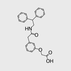 O=C(O)COc1cccc(CC(=O)NCC(c2ccccc2)c2ccccc2)c1